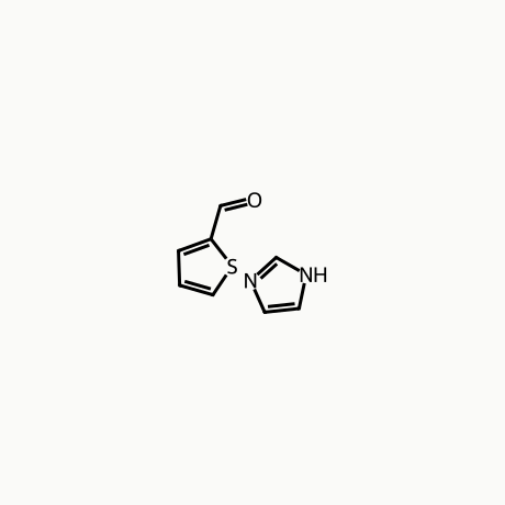 O=Cc1cccs1.c1c[nH]cn1